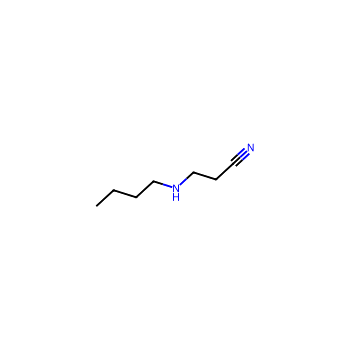 CCCCNCCC#N